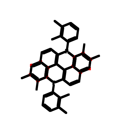 Cc1cccc(P(c2cccc(C)c2C)c2ccc3ccccc3c2-c2c(P(c3cccc(C)c3C)c3cccc(C)c3C)ccc3ccccc23)c1C